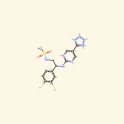 CS(=O)(=O)NCC(Nc1ncc(-c2nnn[nH]2)cn1)c1ccc(F)c(F)c1